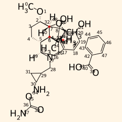 CO[C@@]12CC[C@@]3(C[C@@H]1[C@](C)(O)C(C)(C)C)[C@H]1Cc4ccc(O)c5c4[C@@]3(CCN1CC1CC1)[C@H]2O5.NOC(N)=O.O=C(O)c1ccccc1